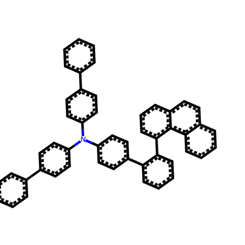 c1ccc(-c2ccc(N(c3ccc(-c4ccccc4)cc3)c3ccc(-c4ccccc4-c4cccc5ccc6ccccc6c45)cc3)cc2)cc1